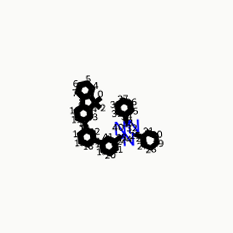 CC1(C)c2ccccc2-c2ccc(-c3cccc(-c4cccc(-c5nc(C6=CCCC=C6)nc(-c6ccccc6)n5)c4)c3)cc21